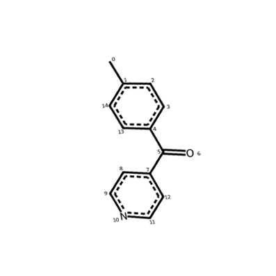 Cc1ccc(C(=O)c2ccncc2)cc1